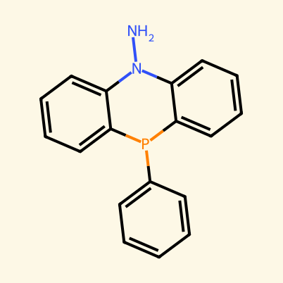 NN1c2ccccc2P(c2ccccc2)c2ccccc21